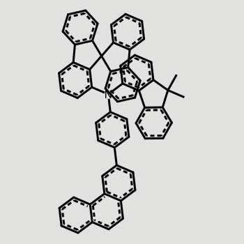 CC1(C)c2ccccc2-c2c(N(c3ccc(-c4ccc5ccc6ccccc6c5c4)cc3)c3cccc4c3C3(c5ccccc5-c5ccccc53)c3ccccc3-4)cccc21